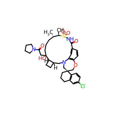 C[C@@H]1[C@@H](C)CCC[C@](O)(CC(=O)N2CCCC2)[C@@H]2CC[C@H]2CN2C[C@@]3(CCCc4cc(Cl)ccc43)COc3ccc(cc32)C(=O)NS1(=O)=O